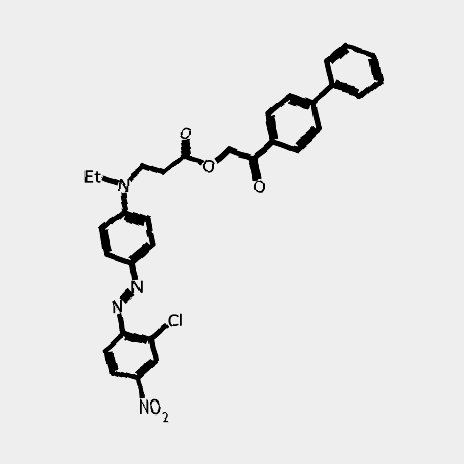 CCN(CCC(=O)OCC(=O)c1ccc(-c2ccccc2)cc1)c1ccc(N=Nc2ccc([N+](=O)[O-])cc2Cl)cc1